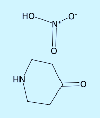 O=C1CCNCC1.O=[N+]([O-])O